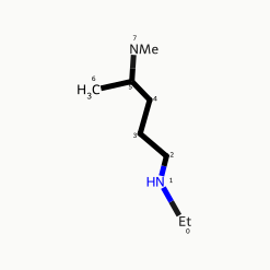 CCNCCCC(C)NC